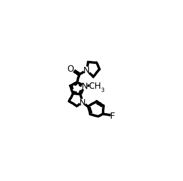 Cn1c(C(=O)N2CCCC2)cc2c1N(C1=CCC(F)C=C1)CC2